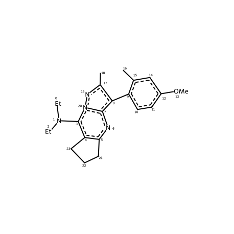 CCN(CC)c1c2c(nc3c(-c4ccc(OC)cc4C)c(C)nn13)CCC2